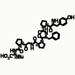 CC[C@H](C)[C@H](NC(=O)[C@@H]1CCCN1C(=O)CNC(=O)[C@@H]1CCCN1C(=O)[C@H](Cc1ccccc1)NC(=O)[C@@H]1CCCN1C(=O)[C@@H](N)Cc1ccc(O)cc1)C(=O)O